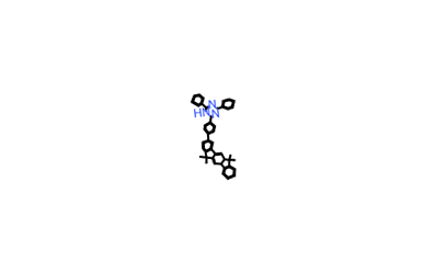 CC1(C)C2=CC3c4ccccc4C(C)(C)C3C=C2c2cc(-c3ccc(C4N=C(c5ccccc5)N=C(c5ccccc5)N4)cc3)ccc21